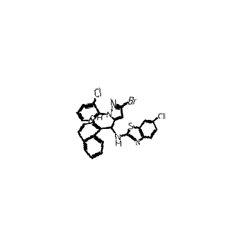 Oc1ccc2ccccc2c1C(Nc1nc2ccc(Cl)cc2s1)c1cc(Br)nn1-c1ncccc1Cl